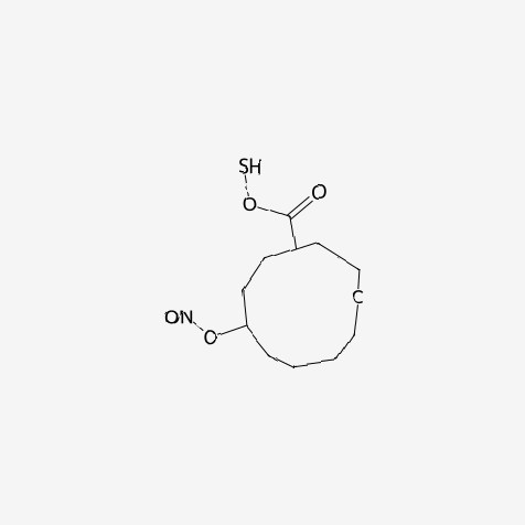 O=NOC1CCCCCCCC(C(=O)OS)CC1